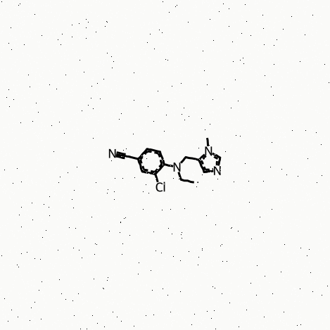 [CH2]CN(Cc1cncn1C)c1ccc(C#N)cc1Cl